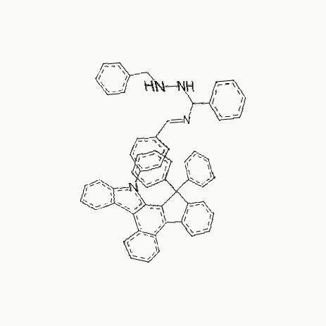 C(=N\C(NNCc1ccccc1)c1ccccc1)/c1ccc(-n2c3ccccc3c3c4ccccc4c4c(c32)C(c2ccccc2)(c2ccccc2)c2ccccc2-4)cc1